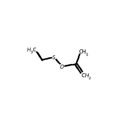 C=C(C)OSCC